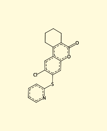 O=c1oc2cc(Sc3ccccn3)c(Cl)cc2c2c1CCCC2